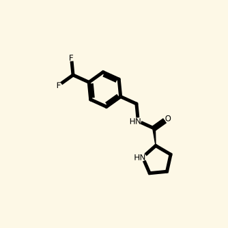 O=C(NCc1ccc(C(F)F)cc1)[C@H]1CCCN1